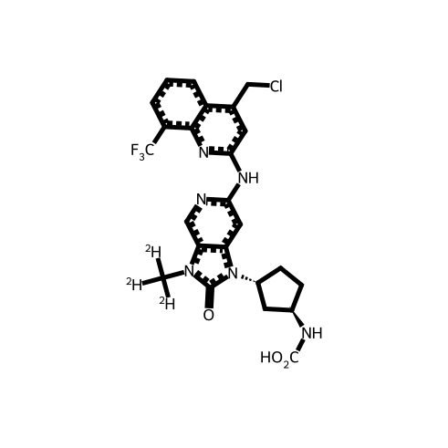 [2H]C([2H])([2H])n1c(=O)n([C@@H]2CC[C@@H](NC(=O)O)C2)c2cc(Nc3cc(CCl)c4cccc(C(F)(F)F)c4n3)ncc21